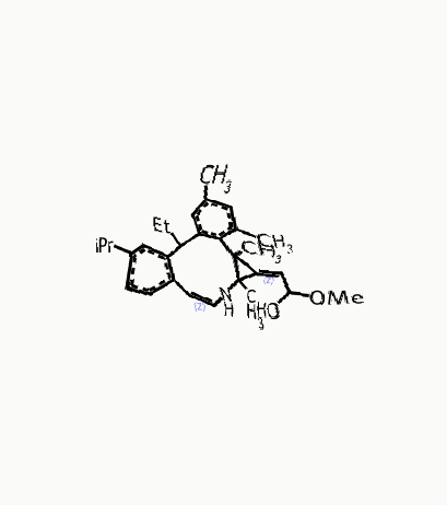 CCC1c2cc(C(C)C)ccc2/C=C\NC2(C)/C(=C\C(O)OC)C2(C)c2c(C)cc(C)cc21